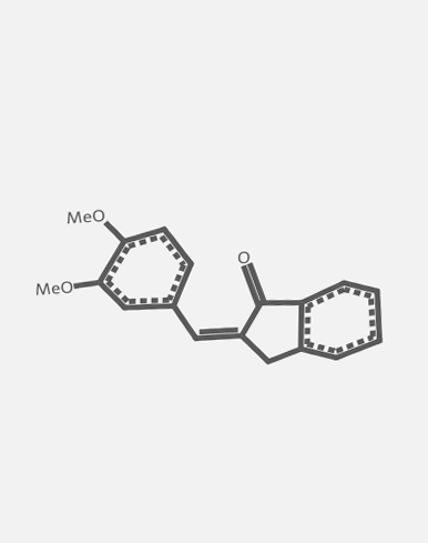 COc1ccc(C=C2Cc3ccccc3C2=O)cc1OC